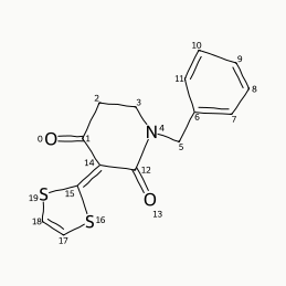 O=C1CCN(Cc2ccccc2)C(=O)C1=C1SC=CS1